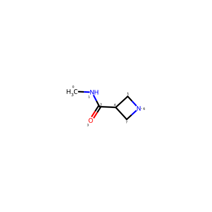 CNC(=O)C1C[N]C1